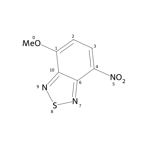 COc1ccc([N+](=O)[O-])c2nsnc12